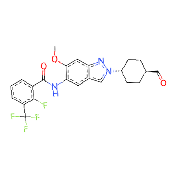 COc1cc2nn([C@H]3CC[C@H](C=O)CC3)cc2cc1NC(=O)c1cccc(C(F)(F)F)c1F